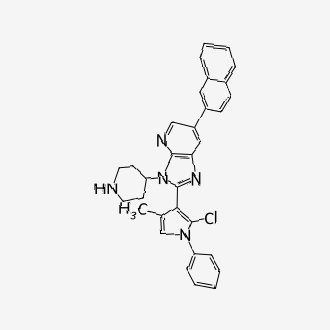 Cc1cn(-c2ccccc2)c(Cl)c1-c1nc2cc(-c3ccc4ccccc4c3)cnc2n1C1CCNCC1